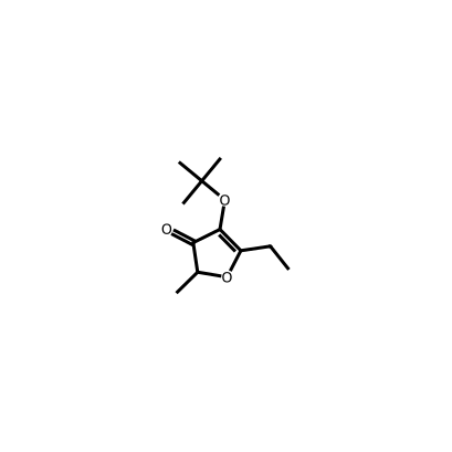 CCC1=C(OC(C)(C)C)C(=O)C(C)O1